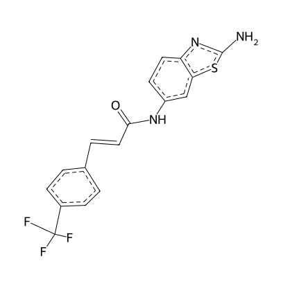 Nc1nc2ccc(NC(=O)/C=C/c3ccc(C(F)(F)F)cc3)cc2s1